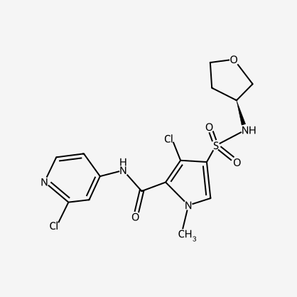 Cn1cc(S(=O)(=O)N[C@H]2CCOC2)c(Cl)c1C(=O)Nc1ccnc(Cl)c1